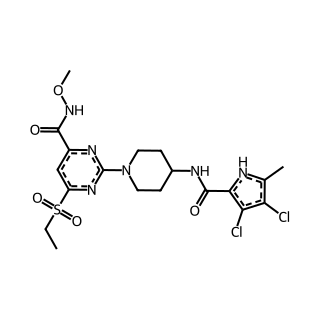 CCS(=O)(=O)c1cc(C(=O)NOC)nc(N2CCC(NC(=O)c3[nH]c(C)c(Cl)c3Cl)CC2)n1